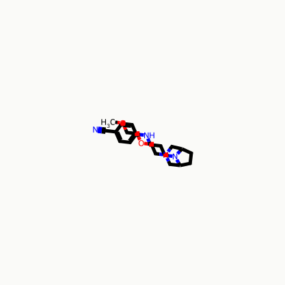 COCCOCCN1CC2CCC(C1)N2CCCNc1ccc(C#N)cc1